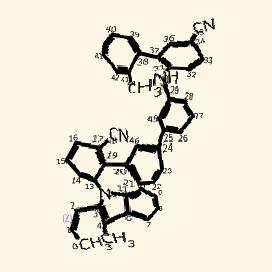 C/C=C\c1c(C)c2ccccc2n1-c1cccc(C#N)c1-c1cccc(-c2cccc(Nc3ccc(C#N)cc3-c3ccccc3C)c2)c1